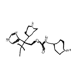 CC(C)(C)C(COC(=O)NC1CCNCC1)(c1c[nH]cn1)C1CCNCC1